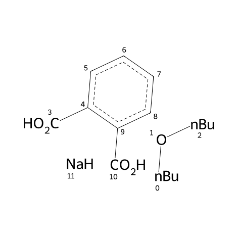 CCCCOCCCC.O=C(O)c1ccccc1C(=O)O.[NaH]